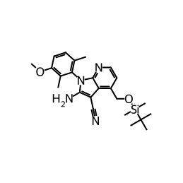 COc1ccc(C)c(-n2c(N)c(C#N)c3c(CO[Si](C)(C)C(C)(C)C)ccnc32)c1C